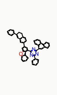 C1=C(c2ccccc2)CCc2ccc(-c3cc(-c4nc(-c5ccccc5)nc(-c5cc6ccccc6c6ccccc56)n4)c4c(c3)oc3ccccc34)cc21